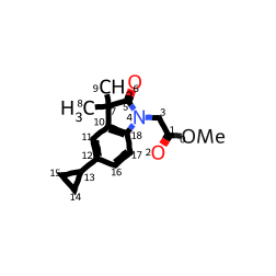 COC(=O)CN1C(=O)C(C)(C)c2cc(C3CC3)ccc21